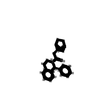 O=C(C[C@@H]1CN2CCC1C2)N1CCc2ccccc2[C@@H]1c1ccccc1